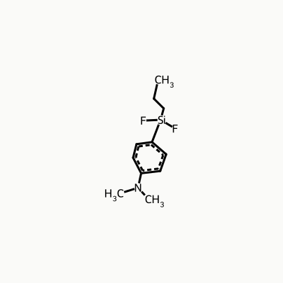 CCC[Si](F)(F)c1ccc(N(C)C)cc1